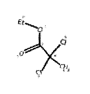 CCOC(=O)C(C)(Cl)Cl